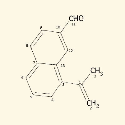 C=C(C)c1cccc2ccc(C=O)cc12